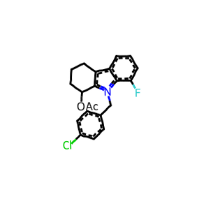 CC(=O)OC1CCCc2c1n(Cc1ccc(Cl)cc1)c1c(F)cccc21